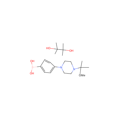 CC(C)(O)C(C)(C)O.COC(C)(C)N1CCN(c2ccc(B(O)O)cc2)CC1